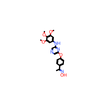 COc1cc(Nc2cncc(Oc3ccc(C(C)=NO)cc3)n2)cc(OC)c1OC